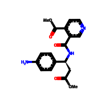 COC(=O)C[C@@H](NC(=O)c1cnccc1C(=O)OC)c1ccc(N)cc1